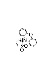 O=S1(=O)C=CC=C1.c1ccc2c(c1)Nc1ccccc1O2